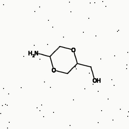 NC1COC(CO)CO1